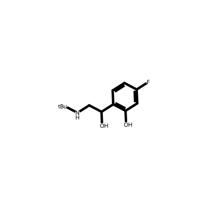 CC(C)(C)NCC(O)c1ccc(F)cc1O